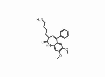 COc1cc2c(cc1OC)C(c1ccccc1)=NC(CCCCN)C(=O)N2